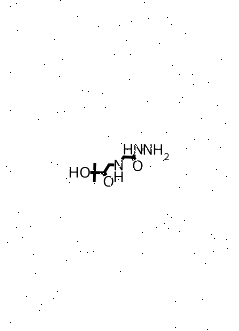 CC(C)(O)C(=O)CNCC(=O)NN